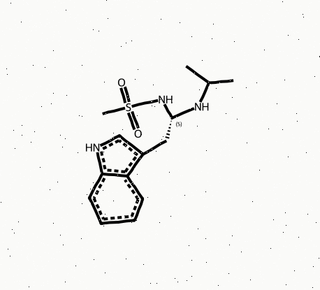 CC(C)N[C@H](Cc1c[nH]c2ccccc12)NS(C)(=O)=O